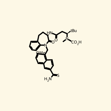 COc1ccc2cc(C(N)=S)ccc2c1CN1C(=O)[C@@H](NC(=O)C[C@H](N(C)C(=O)O)C(C)(C)C)CCc2ccccc21